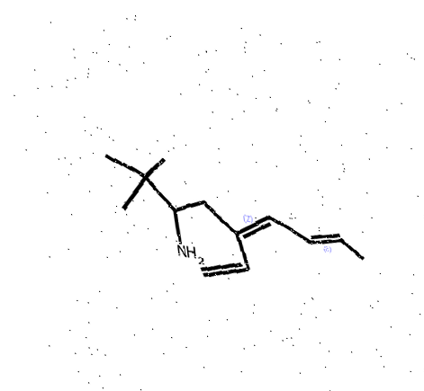 C=C/C(=C\C=C\C)CC(N)C(C)(C)C